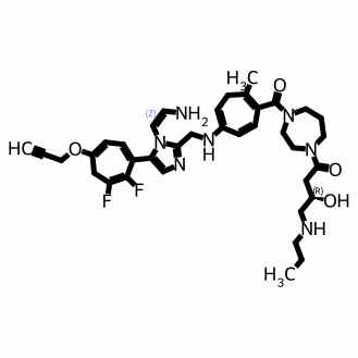 C#CCOC1=CC=C(c2cnc(CNC3=CCC(C)=C(C(=O)N4CCCN(C(=O)C[C@@H](O)CNCCC)CC4)C=C3)n2/C=C\N)C(F)=C(F)C1